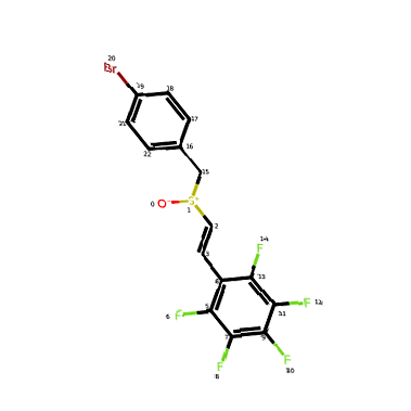 [O-][S+](C=Cc1c(F)c(F)c(F)c(F)c1F)Cc1ccc(Br)cc1